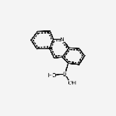 OB(O)c1cccc2nc3ccccc3cc12